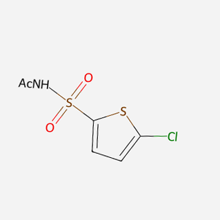 CC(=O)NS(=O)(=O)c1ccc(Cl)s1